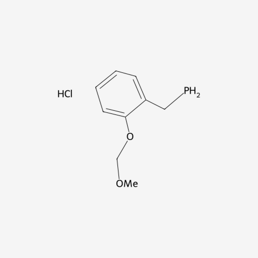 COCOc1ccccc1CP.Cl